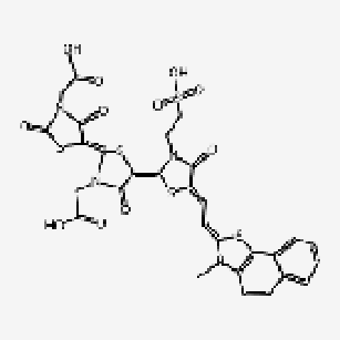 CN1C(=CC=c2s/c(=c3/s/c(=C4/SC(=O)N(CC(=O)O)C4=O)n(CC(=O)O)c3=O)n(CCS(=O)(=O)O)c2=O)Sc2c1ccc1ccccc21